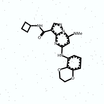 CNc1cc(Nc2cccc3c2OCCO3)nc2c(C(=O)NC3CCC3)cnn12